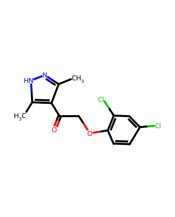 Cc1n[nH]c(C)c1C(=O)COc1ccc(Cl)cc1Cl